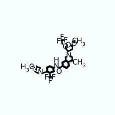 COC(=O)CC(COCC(F)(F)F)N1Cc2cc(C(=O)Nc3ccc(CN4CCN(C)CC4)c(C(F)(F)F)c3)ccc2[C@@H](C)C1